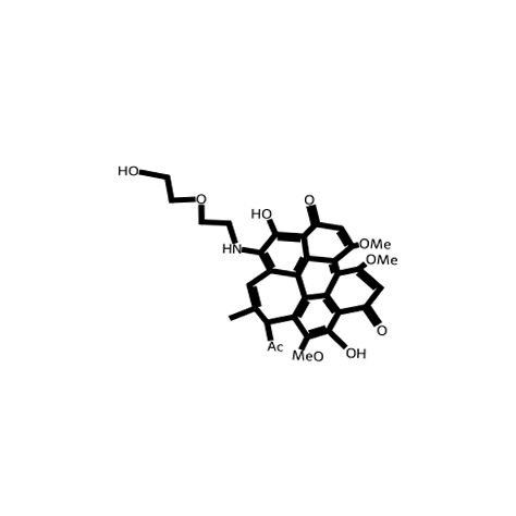 COc1c(O)c2c(=O)cc(OC)c3c4c(OC)cc(=O)c5c(O)c(NCCOCCO)c6c(c(c1C(C(C)=O)C(C)=C6)c23)c54